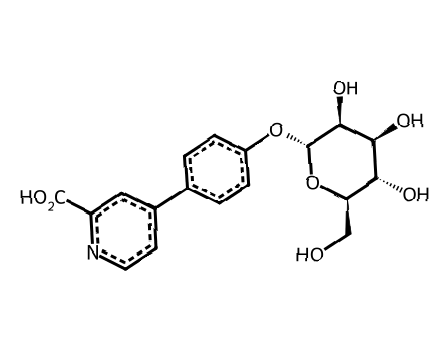 O=C(O)c1cc(-c2ccc(O[C@H]3O[C@H](CO)[C@@H](O)[C@H](O)[C@@H]3O)cc2)ccn1